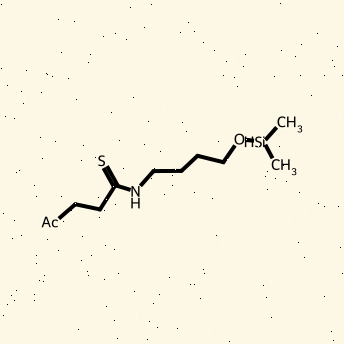 CC(=O)CCC(=S)NCCCCO[SiH](C)C